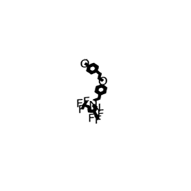 COc1ccc(CCOc2ccc(CCn3nc(C(F)(F)F)cc3C(F)(F)F)cc2)cc1